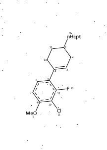 CCCCCCCC1CC=C(c2ccc(OC)c(Cl)c2F)CC1